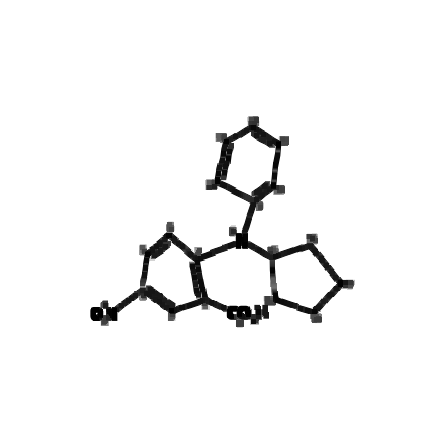 O=C(O)c1cc([N+](=O)[O-])ccc1N(c1ccccc1)C1CCCC1